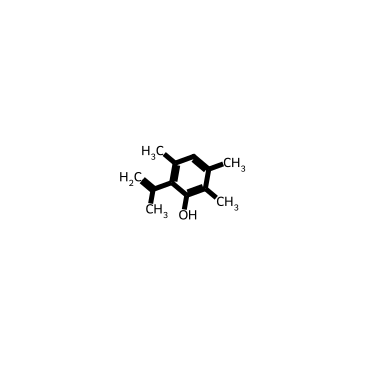 C=C(C)c1c(C)cc(C)c(C)c1O